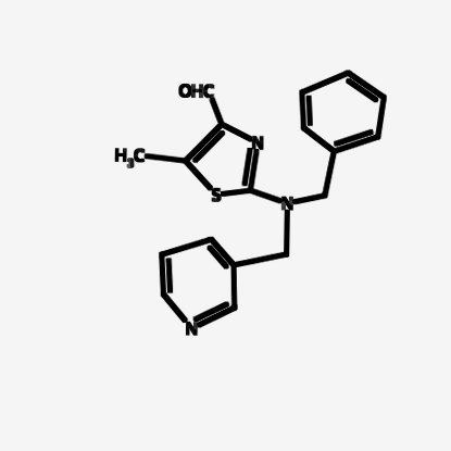 Cc1sc(N(Cc2ccccc2)Cc2cccnc2)nc1C=O